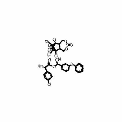 CC(C)C(C(=O)OC(C#N)c1cccc(Oc2ccccc2)c1)c1ccc(Cl)cc1.O=S1OCC2C(CO1)C1(Cl)C(Cl)=C(Cl)C2(Cl)C1(Cl)Cl